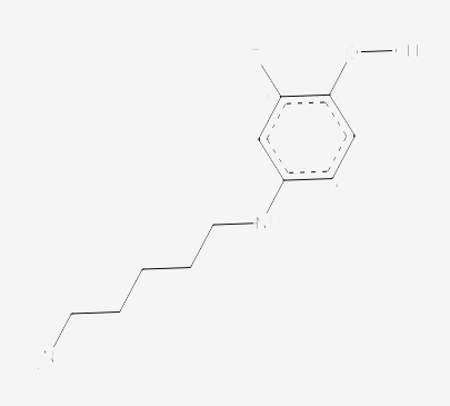 COc1ccc(NCCCCCN)cc1F